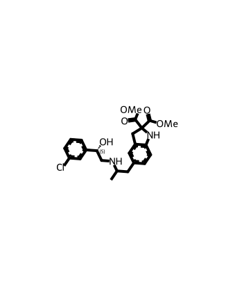 COC(=O)C1(C(=O)OC)Cc2cc(CC(C)NC[C@@H](O)c3cccc(Cl)c3)ccc2N1